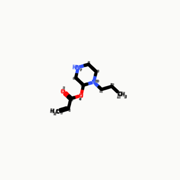 C=CC(=O)OC1CNCCN1CCC